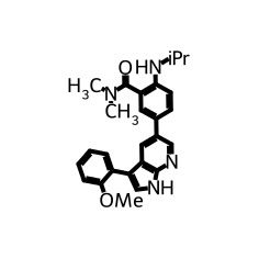 COc1ccccc1-c1c[nH]c2ncc(-c3ccc(NC(C)C)c(C(=O)N(C)C)c3)cc12